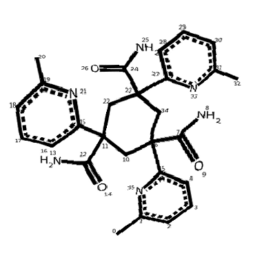 Cc1cccc(C2(C(N)=O)CC(C(N)=O)(c3cccc(C)n3)CC(C(N)=O)(c3cccc(C)n3)C2)n1